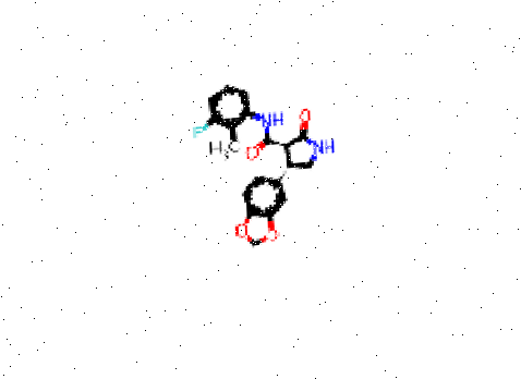 Cc1c(F)cccc1NC(=O)[C@H]1C(=O)NC[C@@H]1c1ccc2c(c1)OCO2